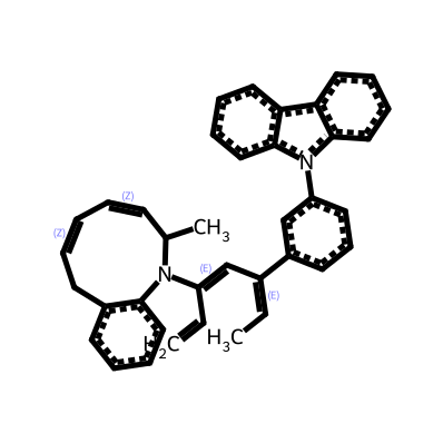 C=C/C(=C\C(=C/C)c1cccc(-n2c3ccccc3c3ccccc32)c1)N1c2ccccc2C/C=C\C=C/C1C